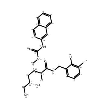 CN(C(=O)NCc1cccc(F)c1Cl)[C@@H](COC(=O)Nc1cc2ccccc2cn1)C[C@H](O)CO